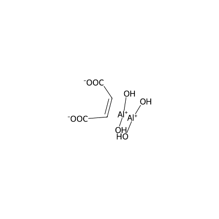 O=C([O-])/C=C\C(=O)[O-].[OH][Al+][OH].[OH][Al+][OH]